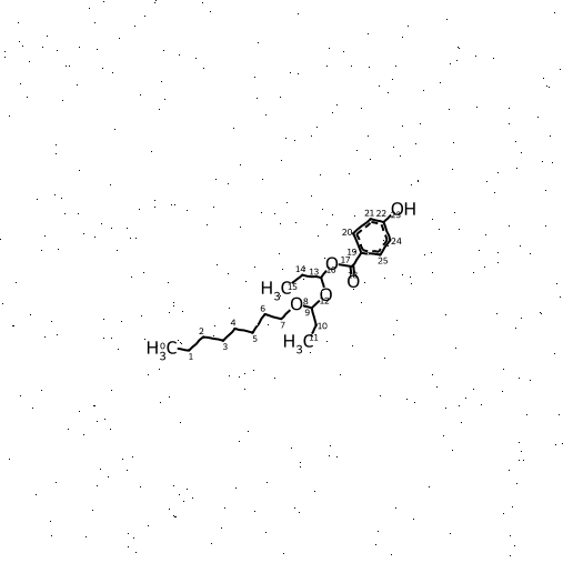 CCCCCCCCOC(CC)OC(CC)OC(=O)c1ccc(O)cc1